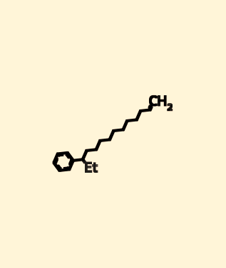 C=CCCCCCCCCCC(CC)c1ccccc1